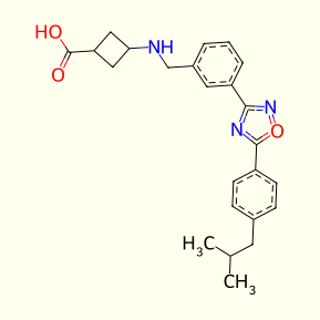 CC(C)Cc1ccc(-c2nc(-c3cccc(CNC4CC(C(=O)O)C4)c3)no2)cc1